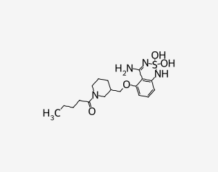 CCCCC(=O)N1CCCC(COc2cccc3c2C(N)=NS(O)(O)N3)C1